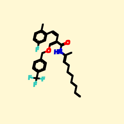 CCCCCCC/C=C(\C)NC(=O)C(/C=C\c1cc(F)ccc1C)=C\OCc1ccc(C(F)(F)F)cc1